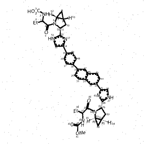 CCC(NC(=O)O)C(=O)N1[C@@H]2C[C@@H]2C[C@H]1c1nc(-c2ccc(-c3ccc4cc(-c5c[nH]c([C@@H]6C[C@H]7C[C@H]7N6C(=O)C(CC)NC(=O)OC)n5)ccc4c3)cc2)c[nH]1